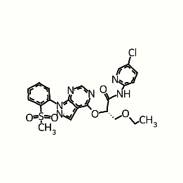 CCOC[C@H](Oc1ncnc2c1cnn2-c1ccccc1S(C)(=O)=O)C(=O)Nc1ccc(Cl)cn1